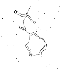 CS(=O)(=O)Nc1cc[c]nc1